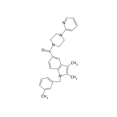 Cc1cccc(Cn2c(C)c(C)c3cc(C(=O)N4CCN(c5ccccn5)CC4)ccc32)c1